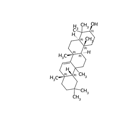 CC1(C)CC[C@]2(C)CC=C3C(C)(CC[C@@H]4[C@@]5(C)CC[C@H](O)C(C)(C)[C@@H]5CC[C@@]34C)[C@@H]2C1